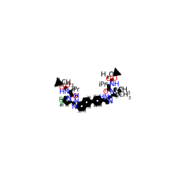 CC(C)[C@H](NC(=O)OC1(C)CC1)C(=O)N1C[Si](C)(C)C[C@H]1c1ncc(-c2ccc(-c3ccc4c(ccc5nc([C@@H]6CC(F)(F)CN6C(=O)[C@@H](NC(=O)OC6(C)CC6)C(C)C)[nH]c54)c3)cc2)[nH]1